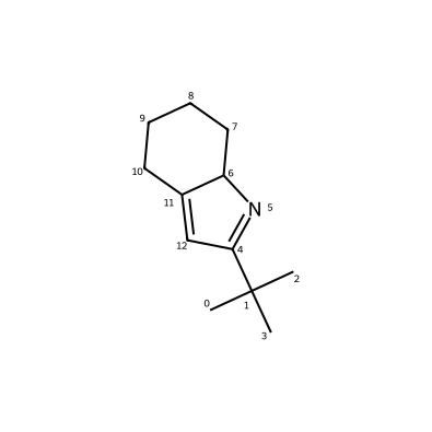 CC(C)(C)C1=NC2CCCCC2=C1